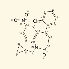 O=C1CN=C(c2ccccc2Cl)c2cc([N+](=O)[O-])ccc2N1CC1CC1